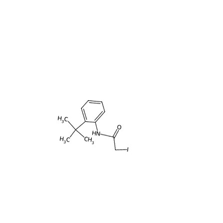 CC(C)(C)c1ccccc1NC(=O)CI